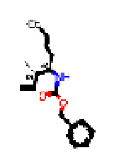 C=C[C@H](C)[C@@H](CC=C[CH]C)NC(=O)OCc1ccccc1